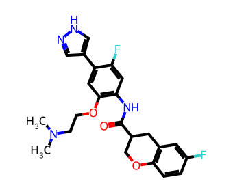 CN(C)CCOc1cc(-c2cn[nH]c2)c(F)cc1NC(=O)C1COc2ccc(F)cc2C1